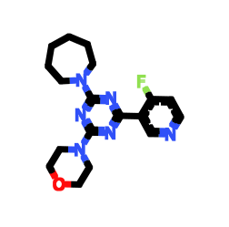 Fc1ccncc1-c1nc(N2CCCCCC2)nc(N2CCOCC2)n1